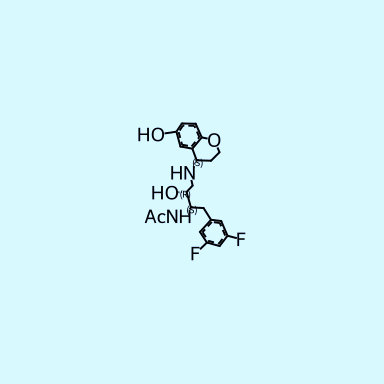 CC(=O)N[C@@H](Cc1cc(F)cc(F)c1)[C@H](O)CN[C@H]1CCOc2ccc(O)cc21